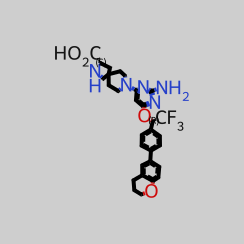 Nc1nc(O[C@H](c2ccc(-c3ccc4c(c3)CCCO4)cc2)C(F)(F)F)cc(N2CCC3(CC2)CN[C@H](C(=O)O)C3)n1